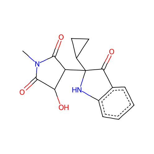 CN1C(=O)C(O)C(C2(C3CC3)Nc3ccccc3C2=O)C1=O